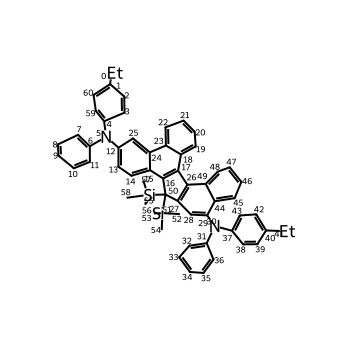 CCc1ccc(N(c2ccccc2)c2ccc3c4c(c5ccccc5c3c2)-c2c(cc(N(c3ccccc3)c3ccc(CC)cc3)c3ccccc23)C4([Si](C)(C)C)[Si](C)(C)C)cc1